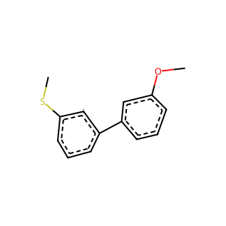 COc1cccc(-c2[c]c(SC)ccc2)c1